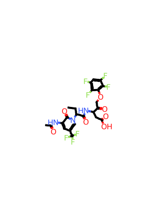 CCC(C(=O)NC(CC(=O)O)C(=O)COc1c(F)c(F)cc(F)c1F)n1cc(C(F)(F)F)cc(NC(C)=O)c1=O